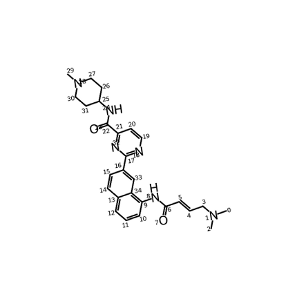 CN(C)C/C=C/C(=O)Nc1cccc2ccc(-c3nccc(C(=O)NC4CCN(C)CC4)n3)cc12